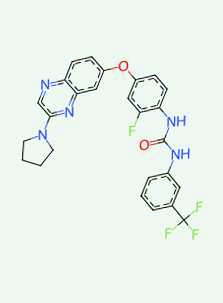 O=C(Nc1cccc(C(F)(F)F)c1)Nc1ccc(Oc2ccc3ncc(N4CCCC4)nc3c2)cc1F